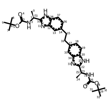 C[C@H](NC(=O)OC(C)(C)C)c1nc2cc(CCc3ccc4[nH]c([C@H](C)NC(=O)OC(C)(C)C)nc4c3)ccc2[nH]1